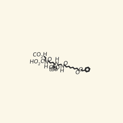 CC(C)(C)OC(=O)C(CCC(=O)N[C@@H](CCC(=O)O)C(=O)O)NC(=O)CNC(=O)CCCCCCC(=O)OCc1ccccc1